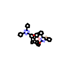 c1ccc(-c2nc(-c3ccccc3)nc(-c3ccc4c(c3)-c3cccc(-c5cccc(-c6nc(-c7ccccc7)c7sc8ccccc8c7n6)c5)c3C43c4ccccc4Oc4ccccc43)n2)cc1